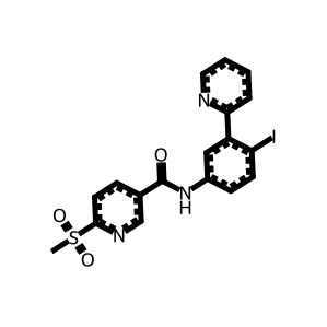 CS(=O)(=O)c1ccc(C(=O)Nc2ccc(I)c(-c3ccccn3)c2)cn1